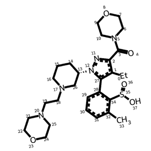 CCc1c(C(=O)N2CCOCC2)nn([C@H]2CCCN(CCN3CCOCC3)C2)c1-c1cccc(C)c1S(=O)O